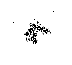 COc1ncc(-c2ccc(C(=O)OC(C)(C)C)cc2C)cc1-c1ccc(N2CC(F)(F)C2)nc1CN1C(=O)O[C@H](c2cc(C)cc(C(F)(F)F)c2)[C@@H]1C